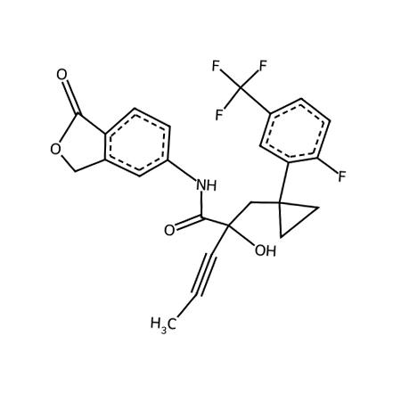 CC#CC(O)(CC1(c2cc(C(F)(F)F)ccc2F)CC1)C(=O)Nc1ccc2c(c1)COC2=O